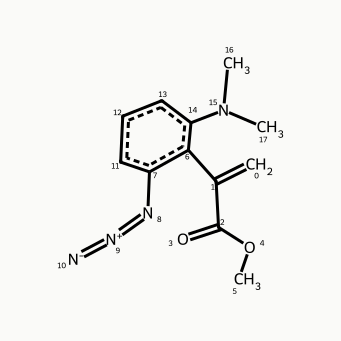 C=C(C(=O)OC)c1c(N=[N+]=[N-])cccc1N(C)C